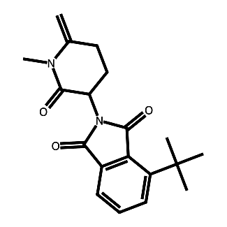 C=C1CCC(N2C(=O)c3cccc(C(C)(C)C)c3C2=O)C(=O)N1C